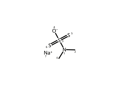 CN(C)S([O-])(=S)=S.[Na+]